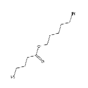 CC(C)CCCCCOC(=O)CCCS